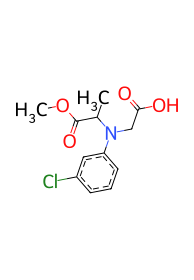 COC(=O)C(C)N(CC(=O)O)c1cccc(Cl)c1